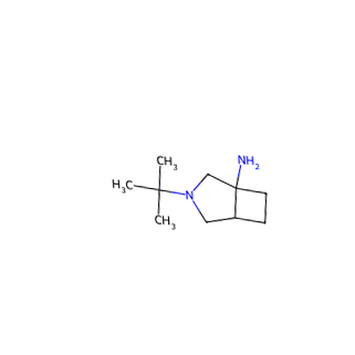 CC(C)(C)N1CC2CCC2(N)C1